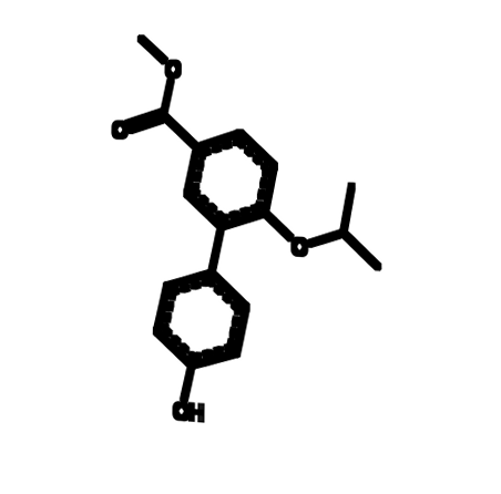 COC(=O)c1ccc(OC(C)C)c(-c2ccc(O)cc2)c1